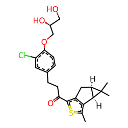 Cc1sc(C(=O)CCc2ccc(OC[C@@H](O)CO)c(Cl)c2)c2c1[C@H]1[C@@H](C2)C1(C)C